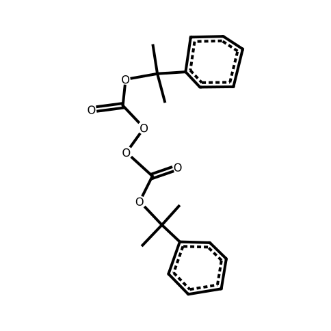 CC(C)(OC(=O)OOC(=O)OC(C)(C)c1ccccc1)c1ccccc1